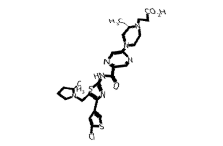 C[C@@H]1CCCN1Cc1sc(NC(=O)c2cnc(N3CCN(CCC(=O)O)[C@@H](C)C3)cn2)nc1-c1csc(Cl)c1